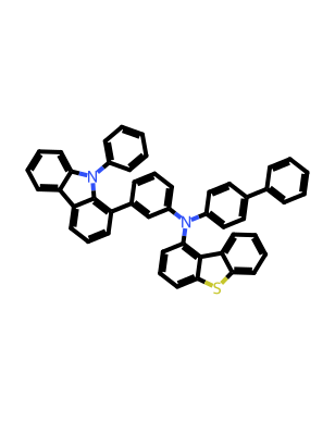 c1ccc(-c2ccc(N(c3cccc(-c4cccc5c6ccccc6n(-c6ccccc6)c45)c3)c3cccc4sc5ccccc5c34)cc2)cc1